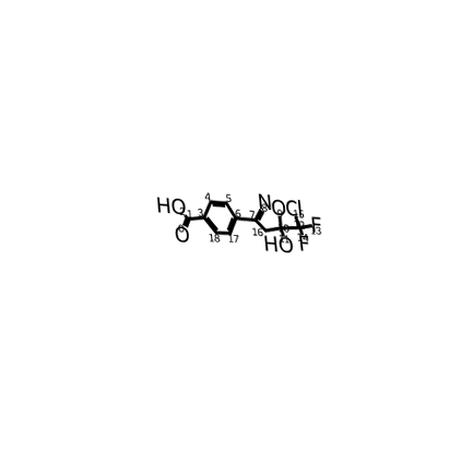 O=C(O)c1ccc(C2=NOC(O)(C(F)(F)Cl)C2)cc1